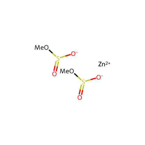 COS(=O)[O-].COS(=O)[O-].[Zn+2]